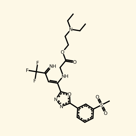 CCN(CC)CCOC(=O)CN/C(=C\C(=N)C(F)(F)F)c1nnc(-c2cccc(S(C)(=O)=O)c2)o1